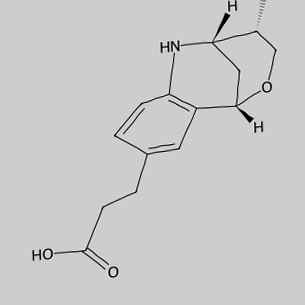 O=C(O)CCc1ccc2c(c1)[C@@H]1C[C@H](N2)[C@H](O)CO1